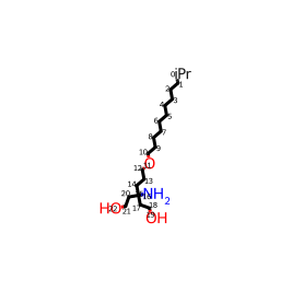 CC(C)CCCCCCCCCCOCCCC(N)(CCO)CCO